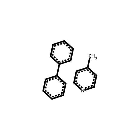 Cc1ccncc1.c1ccc(-c2ccccc2)cc1